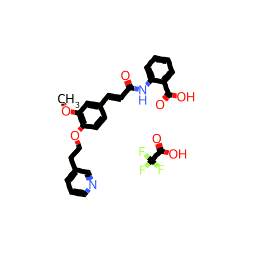 COc1cc(/C=C/C(=O)Nc2ccccc2C(=O)O)ccc1OCCc1cccnc1.O=C(O)C(F)(F)F